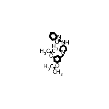 CC(C)Oc1cc(CN2CCC(Nc3nc4ccccc4o3)CC2)cc(OC(C)C)c1